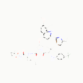 CC[C@@H]1C[C@]1(NC(=O)[C@@H]1C[C@@H](Oc2cc(-c3nc(C(C)C)cs3)nc3c(C)c(OC)ccc23)CN1C(=O)[C@@H](Nc1ccc(C(F)(F)F)cc1)C(C)(C)C)C(=O)NS(=O)(=O)C1(C)CC1